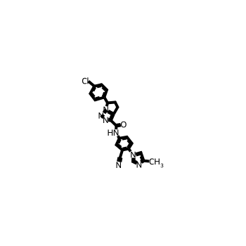 Cc1cn(-c2ccc(NC(=O)c3nnn4c3CCC4c3ccc(Cl)cc3)cc2C#N)cn1